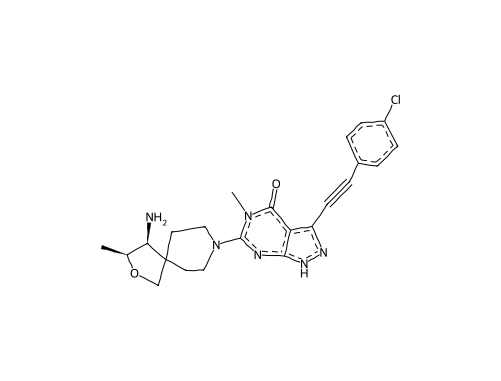 C[C@@H]1OCC2(CCN(c3nc4[nH]nc(C#Cc5ccc(Cl)cc5)c4c(=O)n3C)CC2)[C@@H]1N